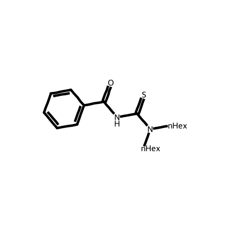 CCCCCCN(CCCCCC)C(=S)NC(=O)c1ccccc1